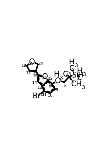 C[SiH](C)C(C)(C)COc1ccc(Br)c2cc(C3CCOC3)oc12